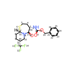 O=C(N[C@H]1CCS[C@H]2CC[C@@H](C(F)(F)F)CN2C1=O)OCc1ccccc1